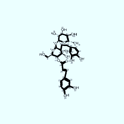 C[C@@H]1O[C@@H](OC2O[C@H](CO)[C@@H](OC(=O)C=Cc3ccc(O)c(O)c3)[C@H](O)[C@]2(O)CCc2ccc(O)c(O)c2)[C@H](O)[C@H](O)[C@H]1O